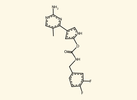 Cc1cnc(N)nc1-c1c[nH]c(OC(=O)NCc2ccc(F)c(F)c2)c1